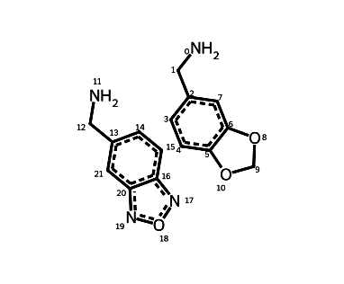 NCc1ccc2c(c1)OCO2.NCc1ccc2nonc2c1